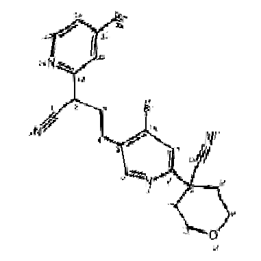 N#CC(CCc1cnc(C2(C#N)CCOCC2)cc1Br)c1cc(Br)ccn1